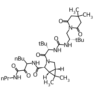 CCCCC(NC(=O)[C@@H]1[C@@H]2[C@H](CN1C(=O)[C@@H](NC(=O)N[C@H](CN1C(=O)CC(C)(C)CC1=O)C(C)(C)C)C(C)(C)C)C2(C)C)C(=O)C(=O)NCCC